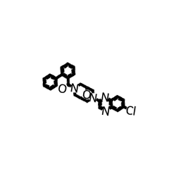 O=C(c1ccccc1-c1ccccc1)N1CC2CN(c3cnc4cc(Cl)ccc4n3)CC(C1)O2